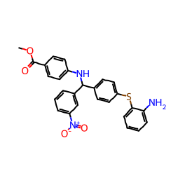 COC(=O)c1ccc(NC(c2ccc(Sc3ccccc3N)cc2)c2cccc([N+](=O)[O-])c2)cc1